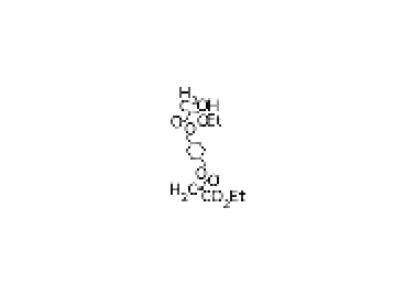 C=C(C(=O)OCC)C(=O)OCC1CCC(COC(=O)C(=C)C(O)OCC)CC1